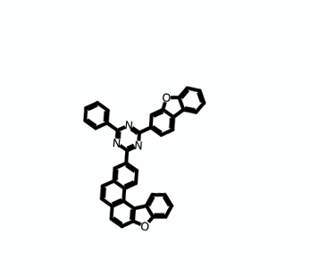 c1ccc(-c2nc(-c3ccc4c(ccc5ccc6oc7ccccc7c6c54)c3)nc(-c3ccc4c(c3)oc3ccccc34)n2)cc1